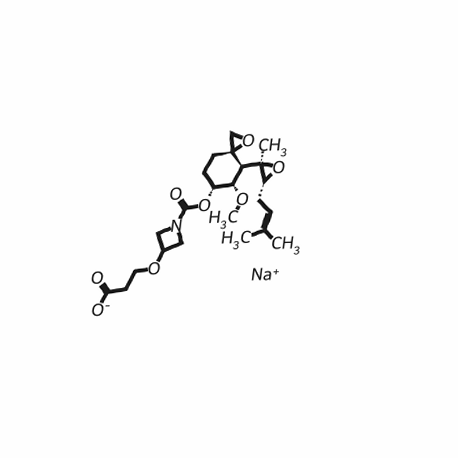 CO[C@@H]1[C@H](OC(=O)N2CC(OCCC(=O)[O-])C2)CC[C@]2(CO2)[C@H]1[C@@]1(C)O[C@@H]1CC=C(C)C.[Na+]